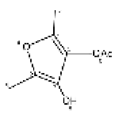 CC(=O)Oc1c(C)oc(C)c1O